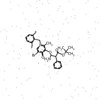 Cc1c(OC(N)C(C(=O)OC(C)(C)C)c2ccccc2)c(=O)c(Br)cn1Cc1c(F)cccc1F